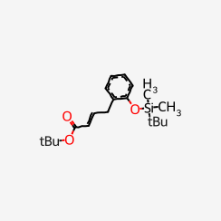 CC(C)(C)OC(=O)/C=C/Cc1ccccc1O[Si](C)(C)C(C)(C)C